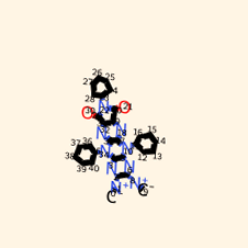 [C-]#[N+]c1nc2c(nc1[N+]#[C-])n(-c1ccccc1)c1nc3c(=O)n(-c4ccccc4)c(=O)c3nc1n2-c1ccccc1